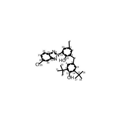 Cc1cc(Cc2cc(C(C)(C)C)c(O)c(C(C)(C)C)c2)c(O)c(-n2nc3ccc(Cl)cc3n2)c1